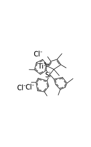 CC1=C(C)C(C)([Si](c2cccc(C)c2)(c2cc(C)cc(C)c2)c2cc(C)cc(C)c2)[C]([Ti+3])=C1C.[Cl-].[Cl-].[Cl-]